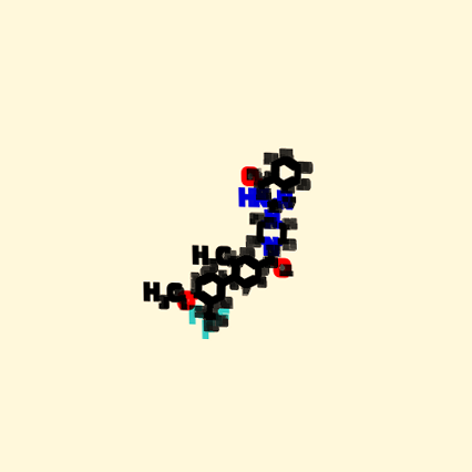 COc1ccc(-c2ccc(C(=O)N3CCN(c4nc5ccccc5c(=O)[nH]4)CC3)cc2C)cc1C(F)(F)F